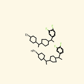 CCC1CCC(C(C)C2CCC(C(C)c3ccc(F)c(F)c3)CC2)CC1.CCCC1CCC(C(C)C2CCC(C(C)c3ccc(F)c(F)c3)CC2)CC1